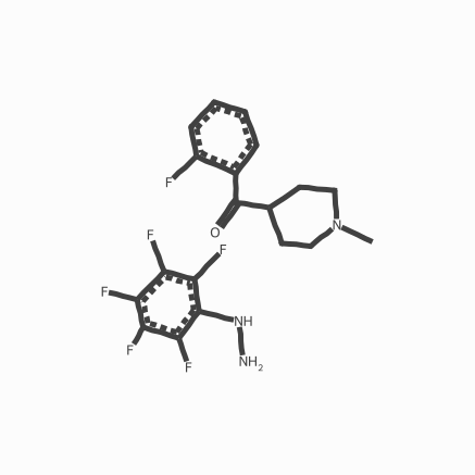 CN1CCC(C(=O)c2ccccc2F)CC1.NNc1c(F)c(F)c(F)c(F)c1F